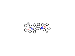 CCc1ccc(N(c2ccc3c(c2)C(c2ccccc2)(c2ccccc2)c2cc(N(c4ccc(CC)cc4)c4cccc5c4oc4c(C6CCCCC6)cccc45)c4ccccc4c2-3)c2cccc3c2oc2c(C4CCCCC4)cccc23)cc1